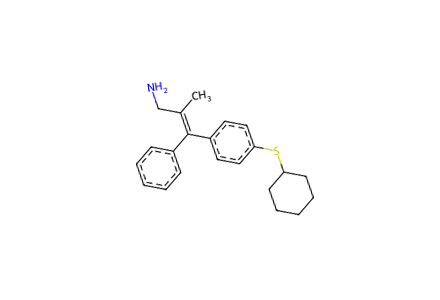 CC(CN)=C(c1ccccc1)c1ccc(SC2CCCCC2)cc1